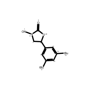 CC(C)(C)c1cc(C2CN(N=O)C(=O)O2)cc(C(C)(C)C)c1